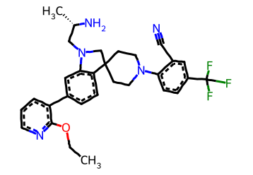 CCOc1ncccc1-c1ccc2c(c1)N(C[C@H](C)N)CC21CCN(c2ccc(C(F)(F)F)cc2C#N)CC1